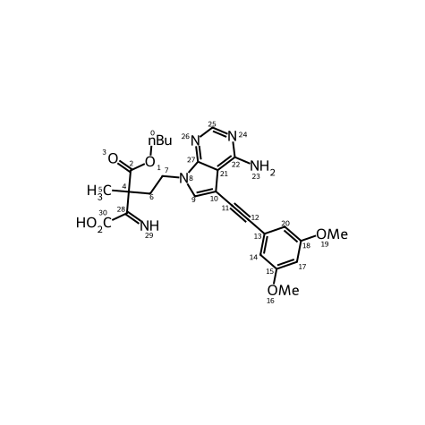 CCCCOC(=O)C(C)(CCn1cc(C#Cc2cc(OC)cc(OC)c2)c2c(N)ncnc21)C(=N)C(=O)O